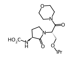 CC(C)OC[C@@H](C(=O)N1CCOCC1)N1CC[C@H](NC(=O)O)C1=O